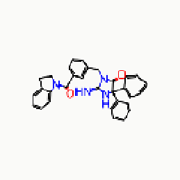 N=C1NC(c2ccccc2)(c2ccccc2)C(=O)N1Cc1cccc(C(=O)N2CCc3ccccc32)c1